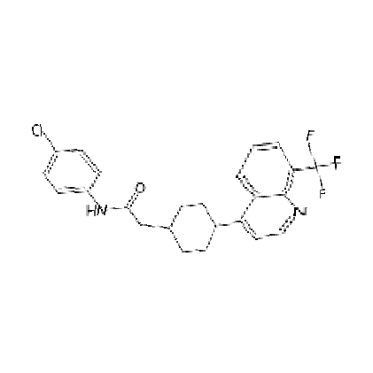 O=C(CC1CCC(c2ccnc3c(C(F)(F)F)cccc23)CC1)Nc1ccc(Cl)cc1